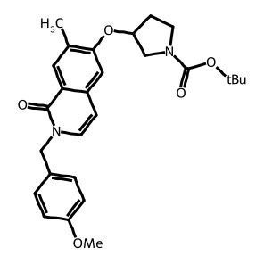 COc1ccc(Cn2ccc3cc(OC4CCN(C(=O)OC(C)(C)C)C4)c(C)cc3c2=O)cc1